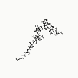 CC(=O)Nc1ncnc2c1ncn2[C@@H]1O[C@H](COP(=O)(O)OP(=O)(O)OCC(C)(C)[C@@H](O)C(=O)NCCC(=O)NCCSC(=O)C=CCC[AsH2])[C@@H](OP(=O)(O)O)[C@H]1O